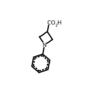 O=C(O)C1CN(c2ccccc2)C1